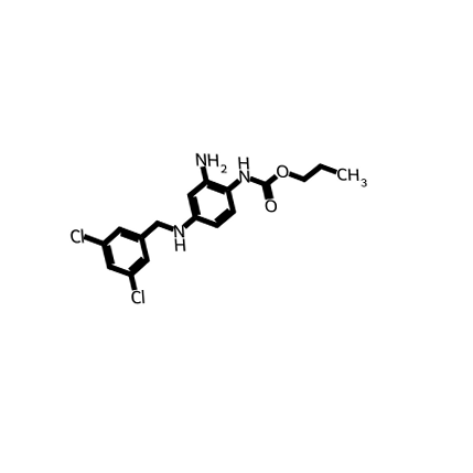 CCCOC(=O)Nc1ccc(NCc2cc(Cl)cc(Cl)c2)cc1N